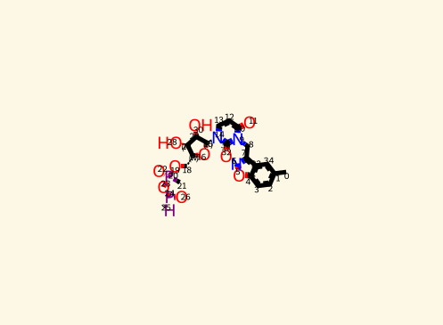 Cc1ccc2onc(Cn3c(=O)ccn([C@@H]4O[C@H](COP(C)(=O)O[PH](C)=O)[C@H](O)C4O)c3=O)c2c1